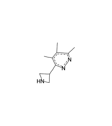 Cc1nnc(C2CNC2)c(C)c1C